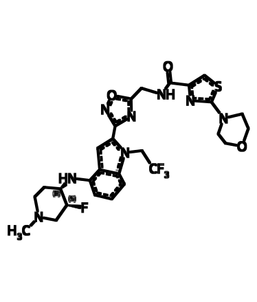 CN1CC[C@@H](Nc2cccc3c2cc(-c2noc(CNC(=O)c4csc(N5CCOCC5)n4)n2)n3CC(F)(F)F)[C@@H](F)C1